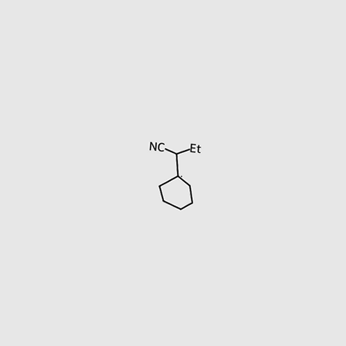 CCC(C#N)[C]1CCCCC1